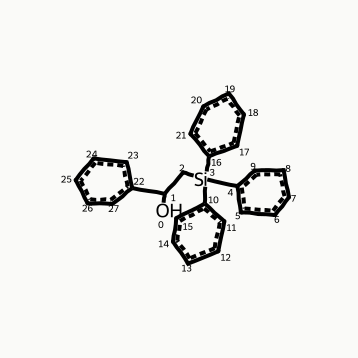 OC(C[Si](c1ccccc1)(c1ccccc1)c1ccccc1)c1ccccc1